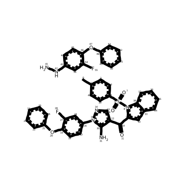 Cc1ccc(S(=O)(=O)n2c(C(=O)c3cnn(-c4ccc(Oc5ccccc5)c(F)c4)c3N)cc3ccccc32)cc1.NNc1ccc(Oc2ccccc2)c(F)c1